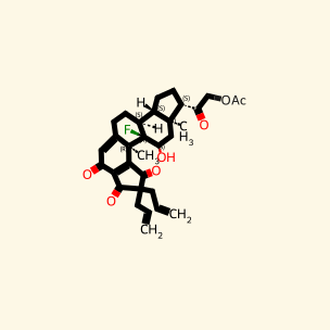 C=CCC1(CC=C)C(=O)C2=C(C1=O)[C@@]1(C)C(=CC2=O)CC[C@H]2[C@@H]3CC[C@H](C(=O)COC(C)=O)[C@@]3(C)C[C@H](O)[C@@]21F